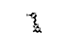 Cc1cc(C)n2nc(C=Cc3cncc(Br)n3)nc2n1